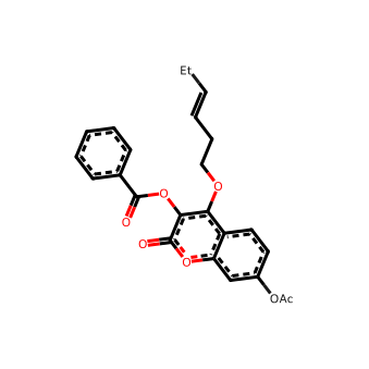 CCC=CCCOc1c(OC(=O)c2ccccc2)c(=O)oc2cc(OC(C)=O)ccc12